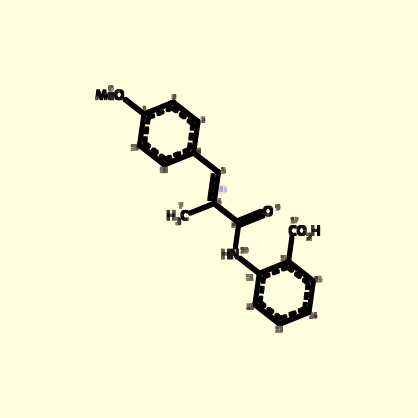 COc1ccc(/C=C(\C)C(=O)Nc2ccccc2C(=O)O)cc1